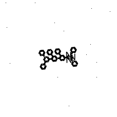 c1ccc(-c2cc(-c3ccccc3)cc(-c3ccc(-c4ccc(-c5nc(-c6ccccc6)nc(-c6ccccc6)n5)cc4-c4ccccc4)cc3-c3ccccc3)c2)cc1